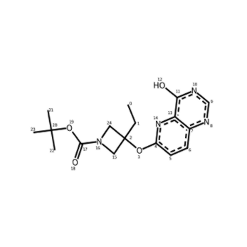 CCC1(Oc2ccc3ncnc(O)c3n2)CN(C(=O)OC(C)(C)C)C1